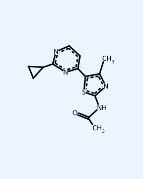 CC(=O)Nc1nc(C)c(-c2ccnc(C3CC3)n2)s1